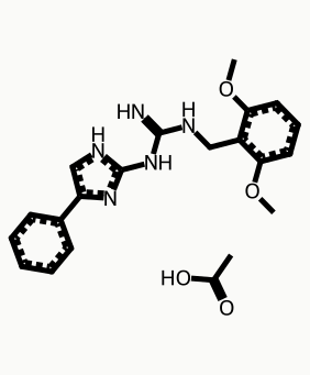 CC(=O)O.COc1cccc(OC)c1CNC(=N)Nc1nc(-c2ccccc2)c[nH]1